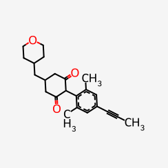 CC#Cc1cc(C)c(C2C(=O)CC(CC3CCOCC3)CC2=O)c(C)c1